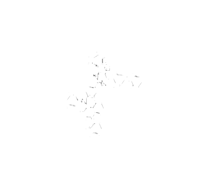 c1ccc(-c2ccc(-c3nc(-c4ccc5c(c4)-c4cccc6c(-c7ccccc7)ccc(c46)N5c4ccccc4)nc4c3oc3ccccc34)cc2)cc1